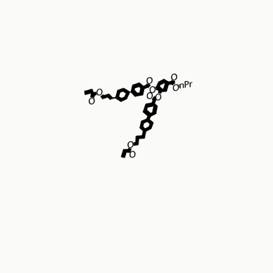 C=CC(=O)OCCCC1CCC(c2ccc(C(=O)Oc3cc(C(=O)OCCC)ccc3OC(=O)c3ccc([C@H]4CC[C@H](CCCOC(=O)C=C)CC4)cc3)cc2)CC1